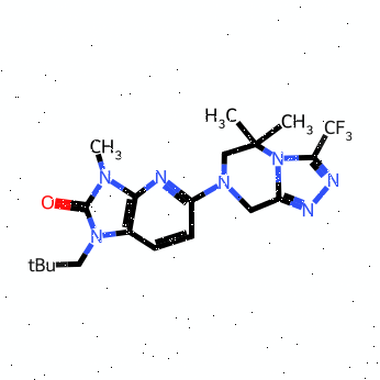 Cn1c(=O)n(CC(C)(C)C)c2ccc(N3Cc4nnc(C(F)(F)F)n4C(C)(C)C3)nc21